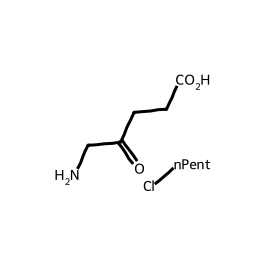 CCCCCCl.NCC(=O)CCC(=O)O